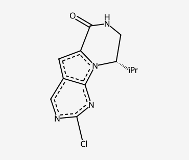 CC(C)[C@H]1CNC(=O)c2cc3cnc(Cl)nc3n21